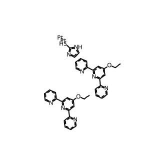 CCOc1cc(-c2ccccn2)nc(-c2ccccn2)c1.CCOc1cc(-c2ccccn2)nc(-c2ccccn2)c1.Sc1ncc[nH]1.[Pt].[Pt]